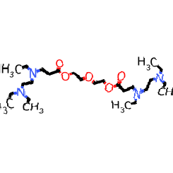 CCN(CC)CCN(CC)CCC(=O)OCCOCCOC(=O)CCN(CC)CCN(CC)CC